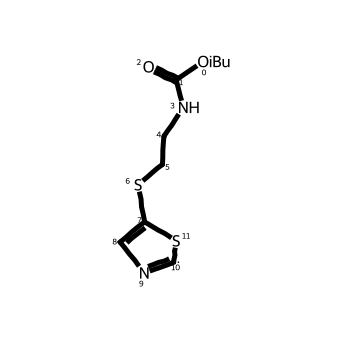 CC(C)COC(=O)NCCSc1cn[c]s1